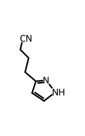 N#CCCCc1cc[nH]n1